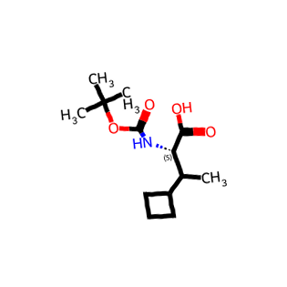 CC(C1CCC1)[C@H](NC(=O)OC(C)(C)C)C(=O)O